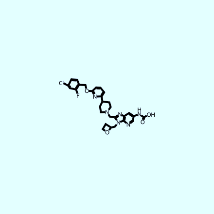 O=C(O)Nc1cnc2c(c1)nc(CN1CCC(c3cccc(OCc4ccc(Cl)cc4F)n3)CC1)n2CC1CCO1